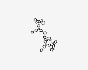 CC1(C)c2cc(-c3cccc(-c4ccc(N(c5ccc(-c6ccccc6)cc5)c5ccc(-c6c7c(cc8c6oc6ccccc68)OC6C=CC=CC7=C6)cc5)cc4)c3)ccc2-c2ccc(N(c3ccc(-c4ccccc4)cc3)c3ccc(-c4c5oc6ccccc6c5cc5oc6ccccc6c45)cc3)cc21